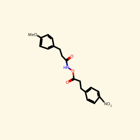 COc1ccc(CCC(=O)NOC(=O)CCc2ccc([N+](=O)[O-])cc2)cc1